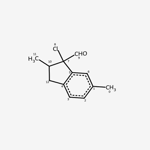 Cc1ccc2c(c1)C(Cl)(C=O)C(C)C2